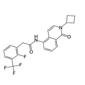 O=C(Cc1cccc(C(F)(F)F)c1F)Nc1cccc2c(=O)n(C3CCC3)ccc12